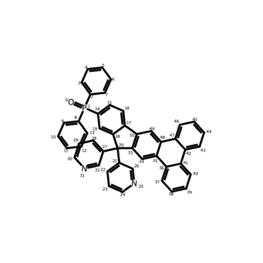 O=P(c1ccccc1)(c1ccccc1)c1ccc2c(c1)C(c1cccnc1)(c1cccnc1)c1cc3c4ccccc4c4ccccc4c3cc1-2